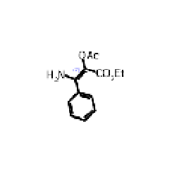 CCOC(=O)/C(OC(C)=O)=C(/N)c1ccccc1